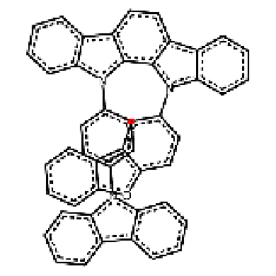 c1ccc2c(c1)oc1ccc(-n3c4ccccc4c4ccc5c6ccccc6n(-c6ccc(-n7c8ccccc8c8ccccc87)cc6)c5c43)cc12